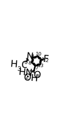 CC#N.O=C(NO)c1cccc(F)c1